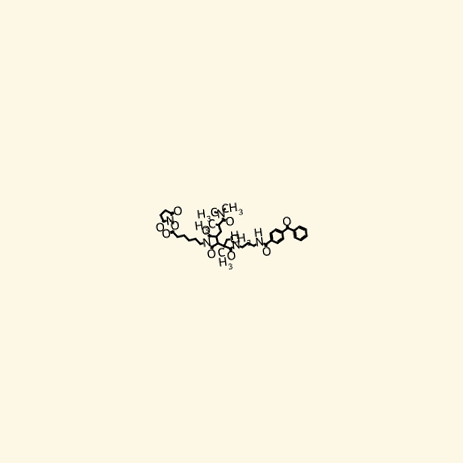 CCC(C)(C(=O)NCCCNC(=O)c1ccc(C(=O)c2ccccc2)cc1)C1C(=O)N(CCCCCC(=O)ON2C(=O)CCC2=O)C(=O)C1CC(C)C(=O)N(C)C